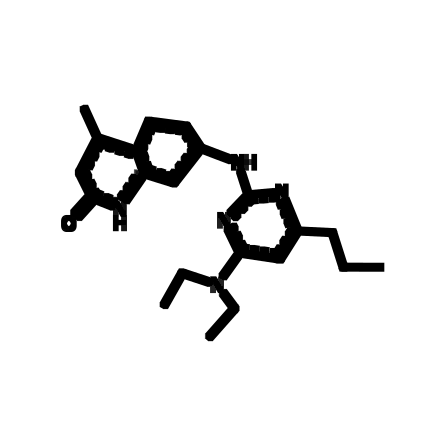 CCCc1cc(N(CC)CC)nc(Nc2ccc3c(C)cc(=O)[nH]c3c2)n1